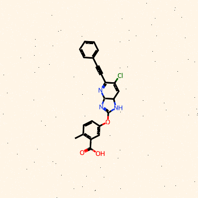 Cc1ccc(OC2=NC3N=C(C#Cc4ccccc4)C(Cl)=CC3N2)cc1C(=O)O